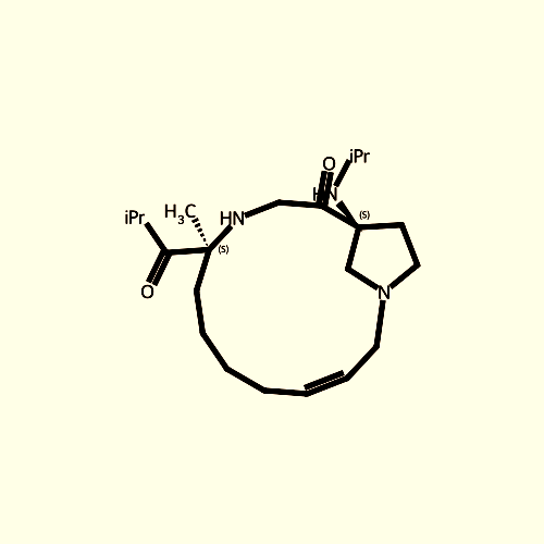 CC(C)N[C@]12CCN(CC=CCCCC[C@@](C)(C(=O)C(C)C)NCC1=O)C2